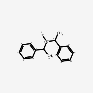 CC(c1ccccc1)[S+]([O-])C(C)c1ccccc1